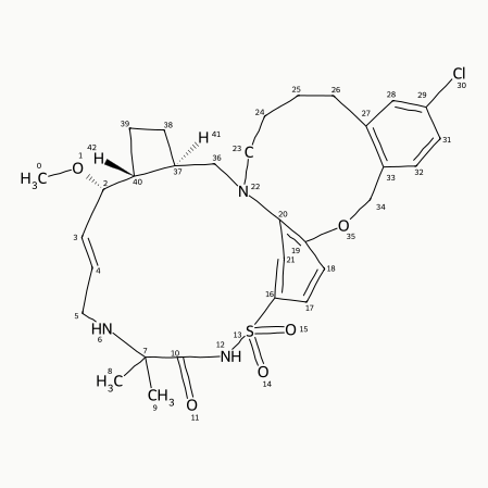 CO[C@H]1/C=C/CNC(C)(C)C(=O)NS(=O)(=O)c2ccc3c(c2)N(CCCCc2cc(Cl)ccc2CO3)C[C@@H]2CC[C@H]21